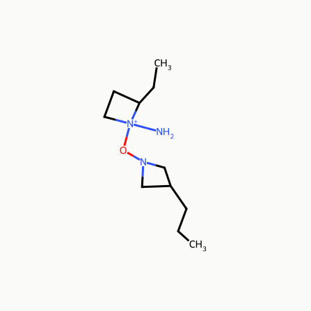 CCCC1CN(O[N+]2(N)CCC2CC)C1